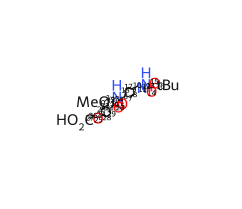 COC[C@H](NC(=O)c1ccc(C=NNC(=O)OC(C)(C)C)cc1)C(=O)c1ccc(OCC(=O)O)cc1